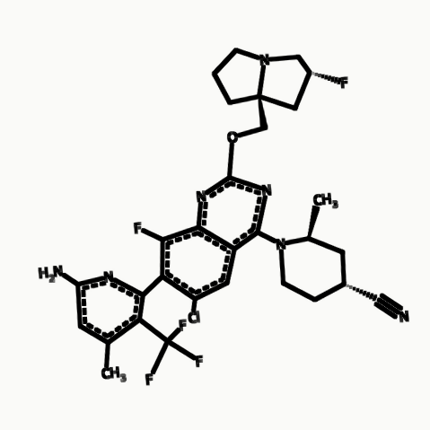 Cc1cc(N)nc(-c2c(Cl)cc3c(N4CC[C@@H](C#N)C[C@@H]4C)nc(OC[C@@]45CCCN4C[C@H](F)C5)nc3c2F)c1C(F)(F)F